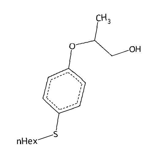 CCCCCCSc1ccc(OC(C)CO)cc1